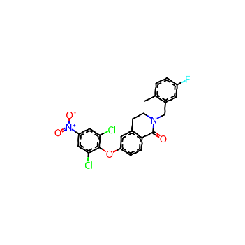 Cc1ccc(F)cc1CN1CCc2cc(Oc3c(Cl)cc([N+](=O)[O-])cc3Cl)ccc2C1=O